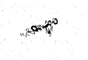 CC(=O)Oc1cccc(CNc2nc(F)nc3c2ncn3C2CCCCO2)c1